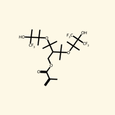 C=C(C)C(=O)OCC(C(C)(C)OC(C)(C)C(C)(O)C(F)(F)F)C(C)(C)OC(C)(C)C(O)(C(F)(F)F)C(F)(F)F